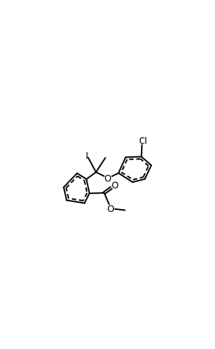 COC(=O)c1ccccc1C(C)(I)Oc1cccc(Cl)c1